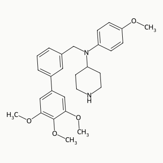 COc1ccc(N(Cc2cccc(-c3cc(OC)c(OC)c(OC)c3)c2)C2CCNCC2)cc1